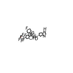 O=C(c1ccc2[nH]cnc2c1)N1CC[C@@]2(S(=O)(=O)c3ccc(F)cc3)c3ccc(C(F)(C(F)(F)F)C(F)(F)F)cc3CC[C@@H]12